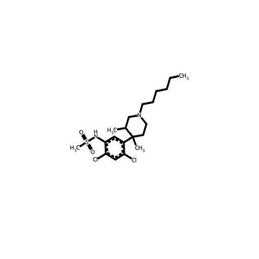 CCCCCCN1CCC(C)(c2cc(NS(C)(=O)=O)c(Cl)cc2Cl)C(C)C1